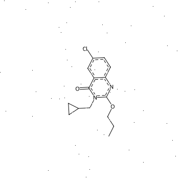 CCCOc1nc2ccc(Cl)cc2c(=O)n1CC1CC1